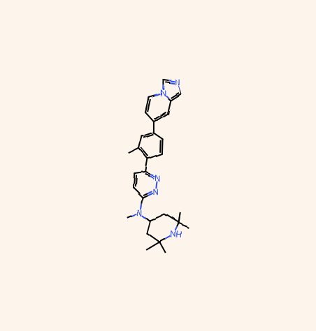 Cc1cc(-c2ccn3cncc3c2)ccc1-c1ccc(N(C)C2CC(C)(C)NC(C)(C)C2)nn1